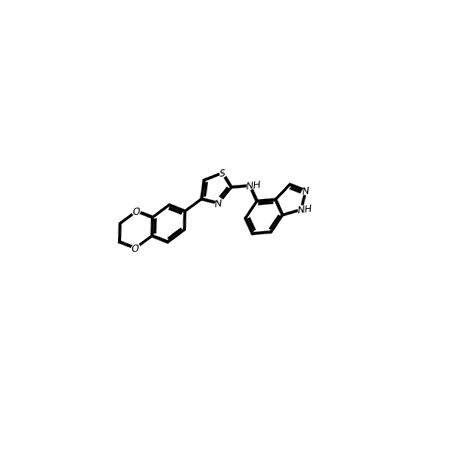 c1cc(Nc2nc(-c3ccc4c(c3)OCCO4)cs2)c2cn[nH]c2c1